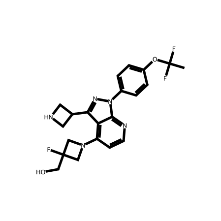 CC(F)(F)Oc1ccc(-n2nc(C3CNC3)c3c(N4CC(F)(CO)C4)ccnc32)cc1